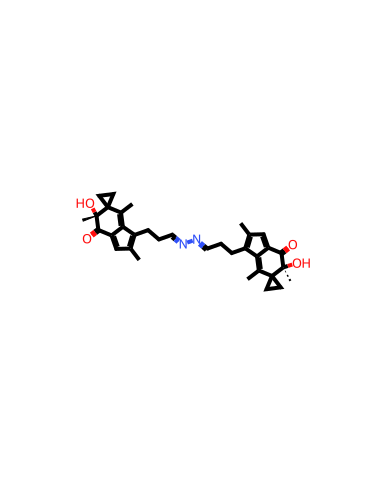 CC1=C(CCC=NN=CCCC2=C(C)C=C3C(=O)[C@@](C)(O)C4(CC4)C(C)=C32)C2=C(C)C3(CC3)[C@@](C)(O)C(=O)C2=C1